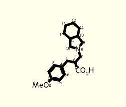 COc1ccc(CC(CN2CC3CCCCC3C2)C(=O)O)cc1